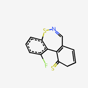 Fc1cccc2c1C1=C(C=CCC1=S)C=NS2